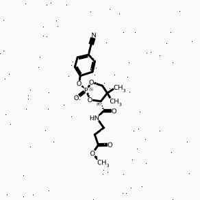 COC(=O)CCNC(=O)[C@@H]1O[P@@](=O)(Oc2ccc(C#N)cc2)OCC1(C)C